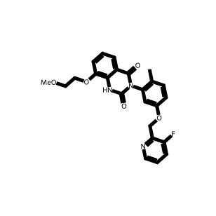 COCCOc1cccc2c(=O)n(-c3cc(OCc4ncccc4F)ccc3C)c(=O)[nH]c12